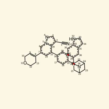 N#Cc1cnn2cc(C3=CCOCC3)cc(-c3ccc(N4CC5CC(C4)N5Cc4ccc5[nH]ccc5c4)nc3)c12